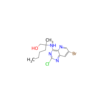 CCCCC(C)(CO)Nc1nc(Cl)nc2cc(Br)cnc12